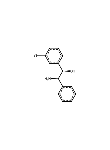 N[C@H](c1ccccc1)[C@H](O)c1cccc(Cl)c1